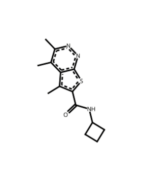 Cc1nnc2sc(C(=O)NC3CCC3)c(C)c2c1C